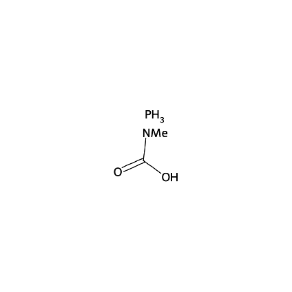 CNC(=O)O.P